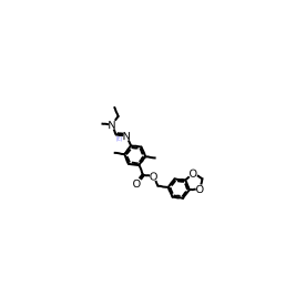 CCN(C)/C=N/c1cc(C)c(C(=O)OCc2ccc3c(c2)OCO3)cc1C